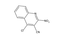 N#Cc1c([N+](=O)[O-])nc2ccccc2c1Cl